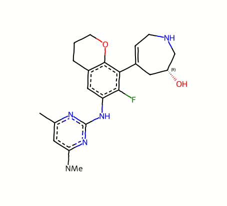 CNc1cc(C)nc(Nc2cc3c(c(C4=CCNC[C@H](O)C4)c2F)OCCC3)n1